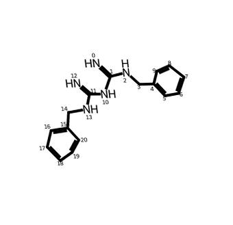 N=C(NCc1ccccc1)NC(=N)NCc1ccccc1